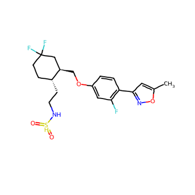 Cc1cc(-c2ccc(OC[C@@H]3CC(F)(F)CC[C@H]3CCN[SH](=O)=O)cc2F)no1